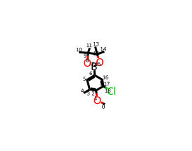 COc1c(C)cc(B2OC(C)(C)C(C)(C)O2)cc1Cl